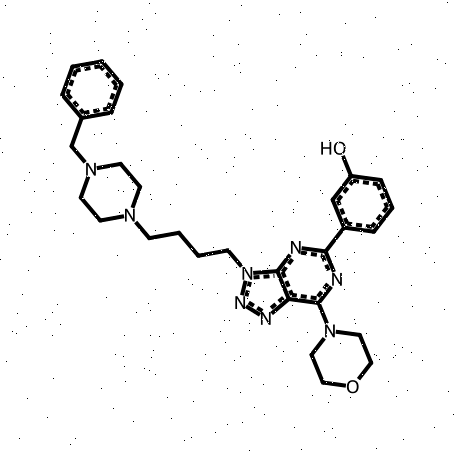 Oc1cccc(-c2nc(N3CCOCC3)c3nnn(CCCCN4CCN(Cc5ccccc5)CC4)c3n2)c1